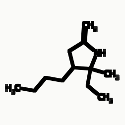 C=C1CC(CCCC)C(C)(CC)N1